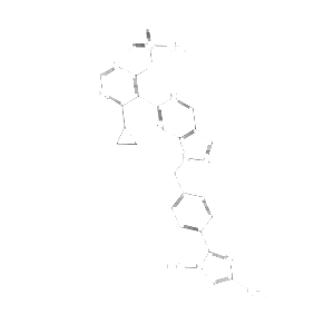 Cn1cc(C(F)(F)F)nc1-c1ccc(Cn2ncc3cnc(-c4c(OS(=O)(=O)C(F)(F)F)ncnc4C4CC4)nc32)cc1